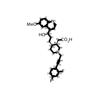 COc1ccc2nccc([C@@H](O)CC[C@@H]3CCN(CC#Cc4ccc(F)cc4F)C[C@@H]3CC(=O)O)c2c1